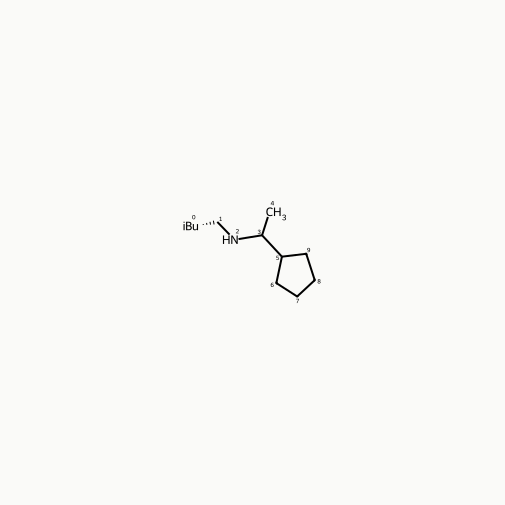 CC[C@@H](C)CNC(C)C1CCCC1